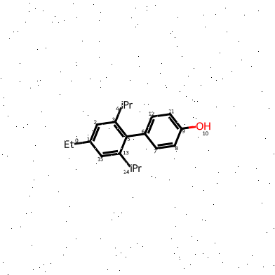 CCc1cc(C(C)C)c(-c2ccc(O)cc2)c(C(C)C)c1